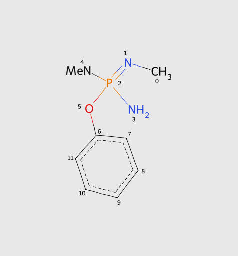 CN=P(N)(NC)Oc1ccccc1